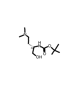 CN(C)CC[C@@H](CO)NC(=O)OC(C)(C)C